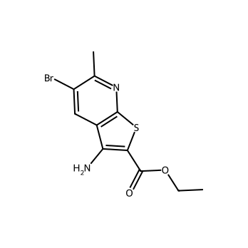 CCOC(=O)c1sc2nc(C)c(Br)cc2c1N